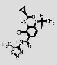 Cn1nnnc1NC(=O)c1ccc(OC(C)(F)F)c(NC(=O)C2CC2)c1Cl